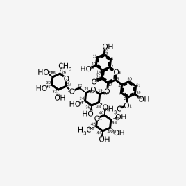 COc1cc(-c2oc3cc(O)cc(O)c3c(=O)c2OC2O[C@H](CO[C@@H]3O[C@@H](C)[C@H](O)[C@@H](O)[C@H]3O)[C@@H](O)[C@H](O)[C@H]2O[C@@H]2O[C@@H](C)[C@H](O)[C@@H](O)[C@H]2O)ccc1O